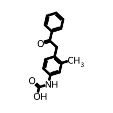 Cc1cc(NC(=O)O)ccc1CC(=O)c1ccccc1